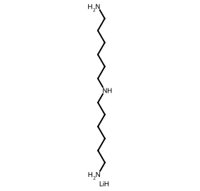 NCCCCCCNCCCCCCN.[LiH]